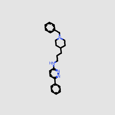 c1ccc(CN2CCC(CCCNc3ccc(-c4ccccc4)nn3)CC2)cc1